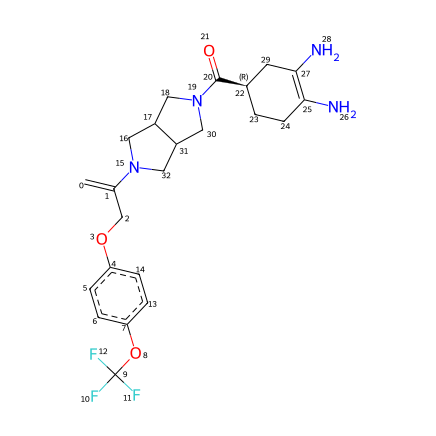 C=C(COc1ccc(OC(F)(F)F)cc1)N1CC2CN(C(=O)[C@@H]3CCC(N)=C(N)C3)CC2C1